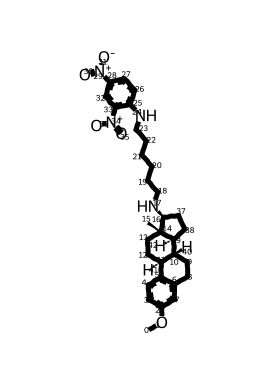 COc1ccc2c(c1)CC[C@@H]1[C@@H]2CC[C@]2(C)[C@@H](NCCCCCCNc3ccc([N+](=O)[O-])cc3[N+](=O)[O-])CC[C@@H]12